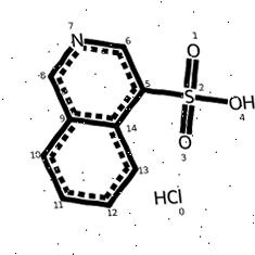 Cl.O=S(=O)(O)c1cncc2ccccc12